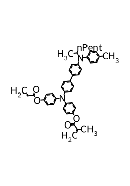 C=CC(=O)Oc1ccc(N(c2ccc(OC(=O)C(=C)C)cc2)c2ccc(-c3ccc(N(c4ccc(C)cc4)C(C)CCCCC)cc3)cc2)cc1